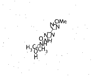 COc1ncc(-c2cnc(NC(=O)NCC(C)(C)O)cn2)cn1